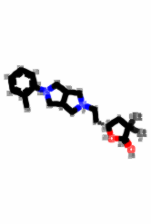 CCC1(CC)C[C@@H](CCN2CC3CN(c4ccccc4C)CC3C2)OC1=O